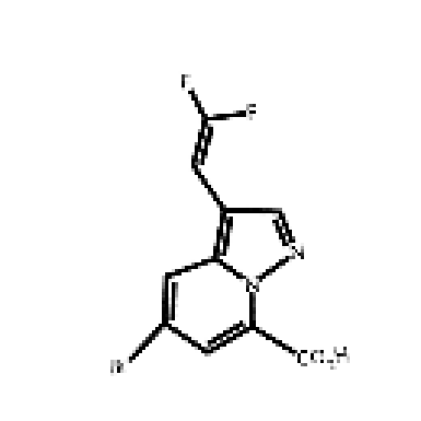 O=C(O)c1cc(Br)cc2c(C=C(F)F)cnn12